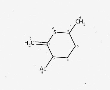 C=C1SC(C)CCC1C(C)=O